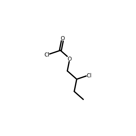 CCC(Cl)COC(=O)Cl